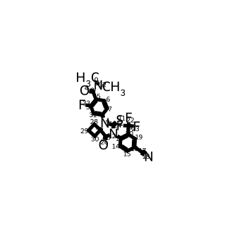 CN(C)C(=O)c1ccc(N2C(=S)N(c3ccc(C#N)cc3C(F)(F)F)C(=O)C23CCC3)cc1F